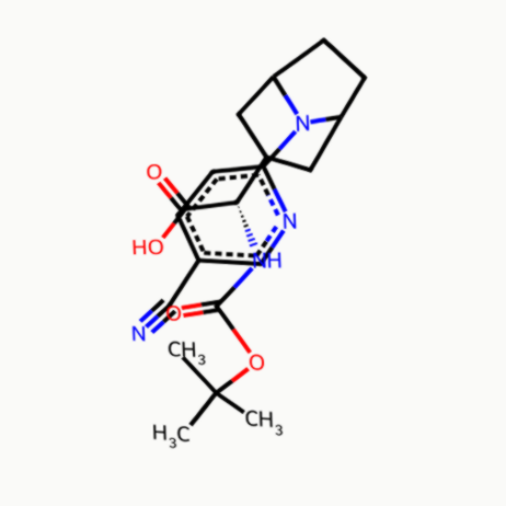 CC(C)(C)OC(=O)N[C@H](C(=O)O)C1CC2CCC(C1)N2c1ccc(C#N)cn1